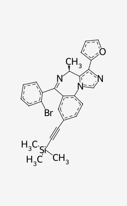 C[C@@H]1N=C(c2ccccc2Br)c2cc(C#C[Si](C)(C)C)ccc2-n2cnc(-c3ccco3)c21